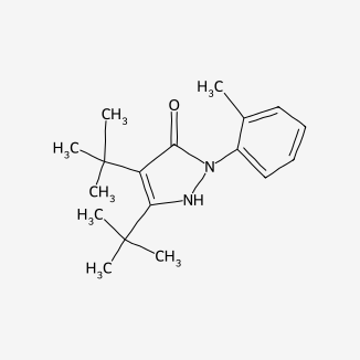 Cc1ccccc1-n1[nH]c(C(C)(C)C)c(C(C)(C)C)c1=O